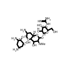 CNC1C(O[C@H]2OC(CO)[C@@H](NC(=N)N)[C@H](O)C2O)O[C@H]2CC(N)[C@@H](O[C@@H]3C(N)C[C@@H](N)C[C@H]3O)OC2C1O